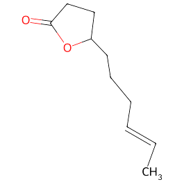 CC=CCCCC1CCC(=O)O1